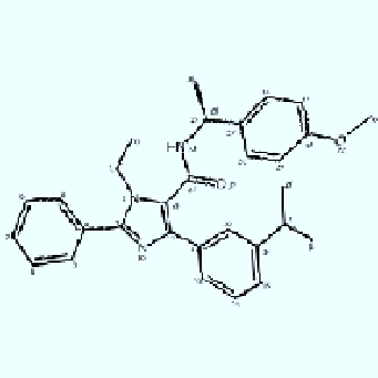 CCn1c(-c2ccccc2)nc(-c2cccc(C(C)C)c2)c1C(=O)N[C@@H](C)c1ccc(OC)cc1